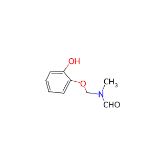 CN(C=O)COc1ccccc1O